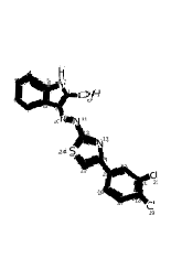 Oc1[nH]c2ccccc2c1N=Nc1nc(-c2ccc(Cl)c(Cl)c2)cs1